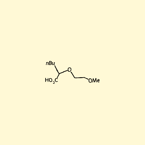 CCCCC(OCCOC)C(=O)O